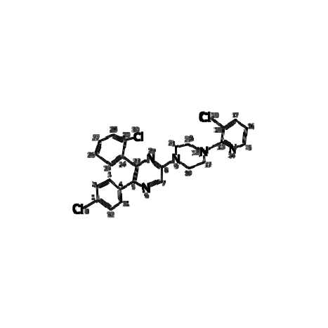 Clc1ccc(-c2ncc(N3CCN(c4ncccc4Cl)CC3)nc2-c2ccccc2Cl)cc1